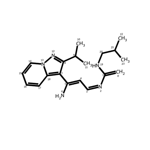 C=C(/N=C\C=C(/N)c1c(C(C)C)nn2ccccc12)NCC(C)C